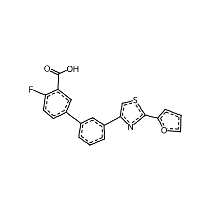 O=C(O)c1cc(-c2cccc(-c3csc(-c4ccco4)n3)c2)ccc1F